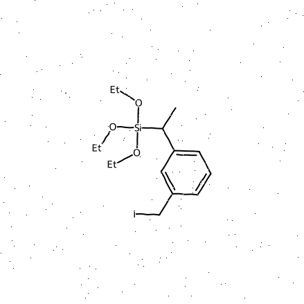 CCO[Si](OCC)(OCC)C(C)c1cccc(CI)c1